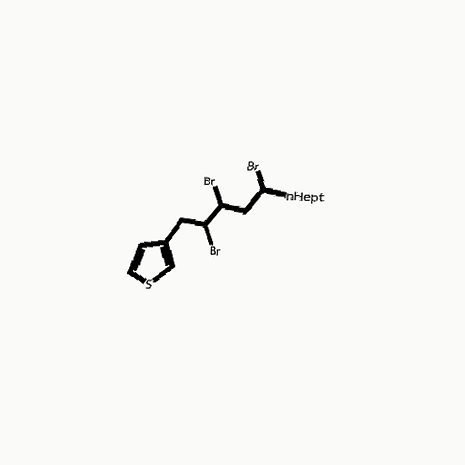 CCCCCCCC(Br)CC(Br)C(Br)Cc1ccsc1